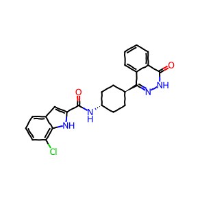 O=C(N[C@H]1CC[C@H](c2n[nH]c(=O)c3ccccc32)CC1)c1cc2cccc(Cl)c2[nH]1